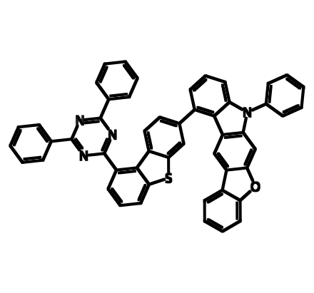 c1ccc(-c2nc(-c3ccccc3)nc(-c3cccc4sc5cc(-c6cccc7c6c6cc8c(cc6n7-c6ccccc6)oc6ccccc68)ccc5c34)n2)cc1